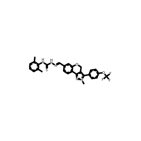 Cc1cccc(C)c1NC(=S)N/N=C/c1ccc2c(c1)OCc1c-2nn(C)c1-c1ccc(OC(F)(F)F)cc1